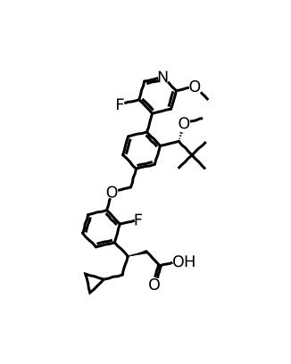 COc1cc(-c2ccc(COc3cccc([C@@H](CC(=O)O)CC4CC4)c3F)cc2[C@H](OC)C(C)(C)C)c(F)cn1